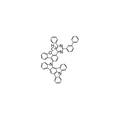 Cc1c(-c2ccccc2)nc(-c2cccc(-c3ccccc3)c2)nc1-c1ccc(-n2c3ccccc3c3cc4c5ccccc5n5c6ccccc6c(c32)c45)c2c1oc1ccccc12